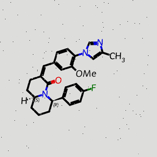 COc1cc(C=C2CC[C@@H]3CCC[C@H](c4ccc(F)cc4)N3C2=O)ccc1-n1cnc(C)c1